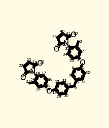 Cc1cc(Oc2ccc(Cc3ccc(Oc4ccc(N5C(=O)C=CC5=O)c(C)c4)cc3)cc2)ccc1N1C(=O)C=CC1=O